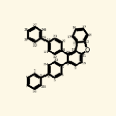 c1ccc(-c2ccc(-c3ccc4oc5ccccc5c4c3-c3ccc(-c4ccccc4)cc3)cc2)cc1